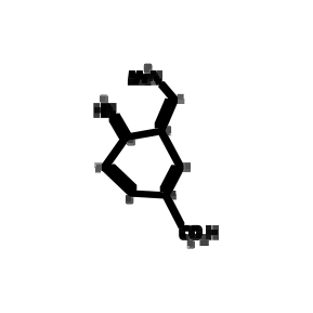 CN/C=C1/C=C(C(=O)O)C=CC1=N